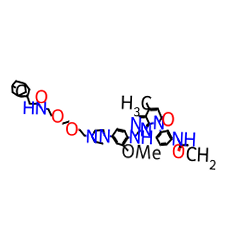 C=CC(=O)Nc1cccc(-n2c(=O)cc(C)c3cnc(Nc4ccc(N5CCN(CCOCCOCCNC(=O)CC67CC8CC(CC6C8)C7)CC5)cc4OC)nc32)c1